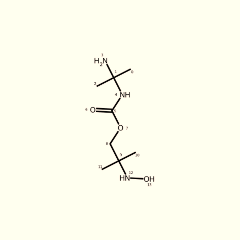 CC(C)(N)NC(=O)OCC(C)(C)NO